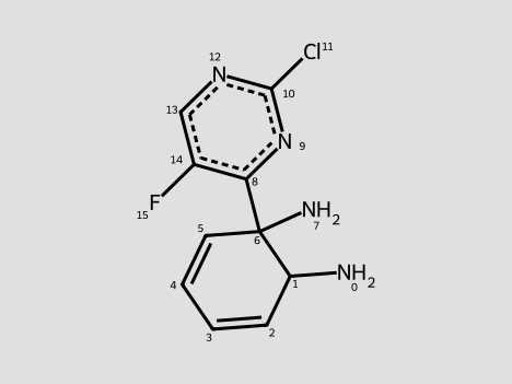 NC1C=CC=CC1(N)c1nc(Cl)ncc1F